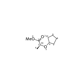 COC(=O)[C@H](C)OC1CCCC1